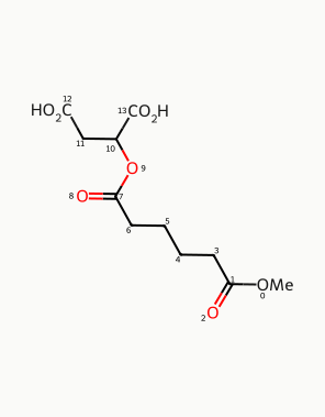 COC(=O)CCCCC(=O)OC(CC(=O)O)C(=O)O